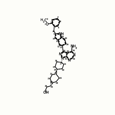 COc1ccccc1Cc1cc2cc(-c3nn([C@H]4CC[C@H](N5CCN(CCO)CC5)CC4)c4ncnc(N)c34)ccc2[nH]1